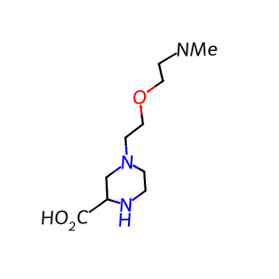 CNCCOCCN1CCNC(C(=O)O)C1